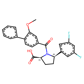 COc1cc(C(=O)N2[C@@H](c3cc(F)cc(F)c3)CC[C@H]2C(=O)O)ccc1-c1ccccc1